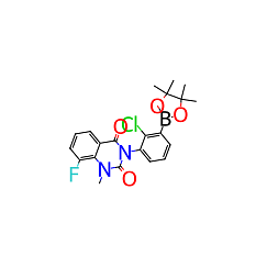 Cn1c(=O)n(-c2cccc(B3OC(C)(C)C(C)(C)O3)c2Cl)c(=O)c2cccc(F)c21